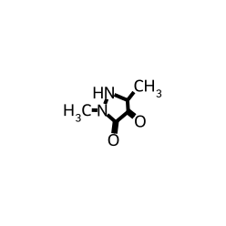 CC1NN(C)C(=O)C1=O